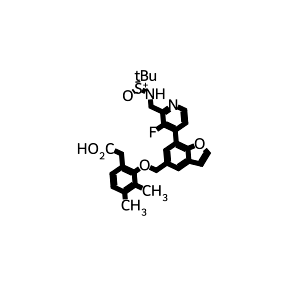 Cc1ccc(CC(=O)O)c(OCc2cc(-c3ccnc(CN[S+]([O-])C(C)(C)C)c3F)c3occc3c2)c1C